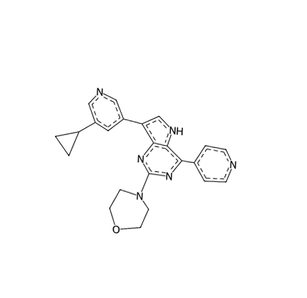 c1cc(-c2nc(N3CCOCC3)nc3c(-c4cncc(C5CC5)c4)c[nH]c23)ccn1